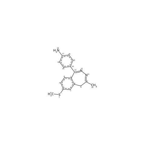 CSc1ccc2c(c1)CC(C)=NN=C2c1ccc(N)cc1